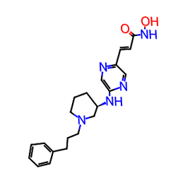 O=C(C=Cc1cnc(N[C@@H]2CCCN(CCCc3ccccc3)C2)cn1)NO